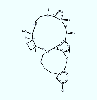 CCCC[C@@H]1[C@@H](C)C/C=C/[C@H](O)[C@@H]2CC[C@H]2CN2CCCCc3cc(Cl)ccc3COc3ccc(cc32)C(=O)NS1(=O)=O